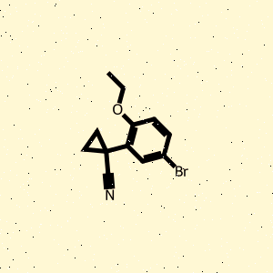 CCOc1ccc(Br)cc1C1(C#N)CC1